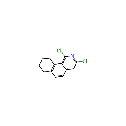 Clc1cc2ccc3c(c2c(Cl)n1)CCCC3